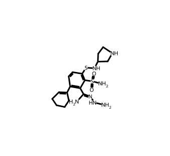 NN/N=C(\N)c1c(C2=CCCCC2)ccc(SNC2CCNC2)c1S(N)(=O)=O